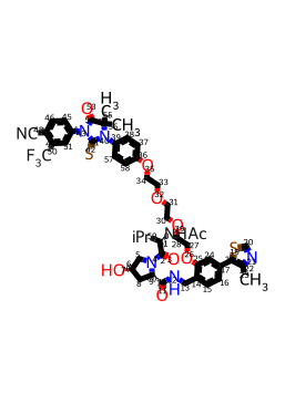 CC(=O)N[C@H](C(=O)N1C[C@H](O)C[C@H]1C(=O)NCc1ccc(-c2scnc2C)cc1OCCOCCOCCOc1ccc(N2C(=S)N(c3ccc(C#N)c(C(F)(F)F)c3)C(=O)C2(C)C)cc1)C(C)C